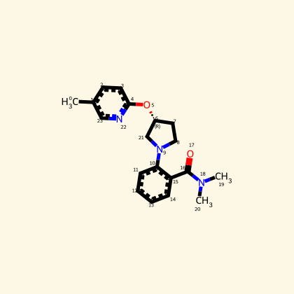 Cc1ccc(O[C@@H]2CCN(c3ccccc3C(=O)N(C)C)C2)nc1